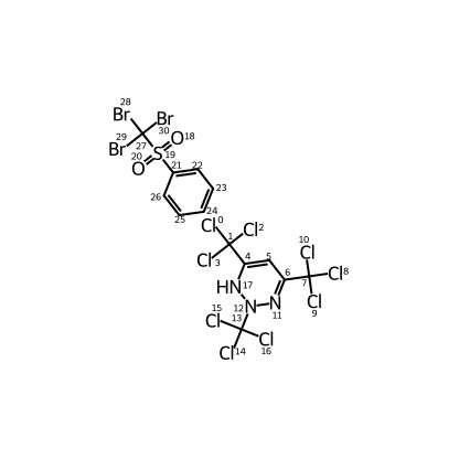 ClC(Cl)(Cl)C1=CC(C(Cl)(Cl)Cl)=NN(C(Cl)(Cl)Cl)N1.O=S(=O)(c1ccccc1)C(Br)(Br)Br